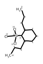 CCCC1CCCC(CCC)C1[Si](Cl)(Cl)Cl